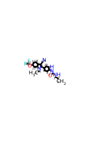 C=CCNC(=O)Nc1ccc(-c2c(C#N)c3ccc(OC(F)F)cc3n2CC)cc1